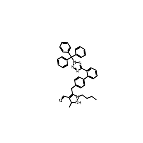 CCCCN1NC(C)C(C=O)=C1Cc1ccc(-c2ccccc2-c2nnn(C(c3ccccc3)(c3ccccc3)c3ccccc3)n2)cc1